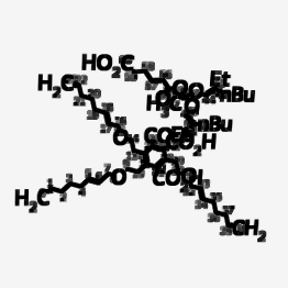 C=CCCCC=CCOCCc1c(CCOCC=CCCCC=C)c(C(=O)O)c(C(=O)O)c(CCOCC=CCCCC=C)c1C(=O)O.CCCCC(=COC(C)(OC=C(CC)CCCC)OC(=O)C=CCCC(=O)O)CC